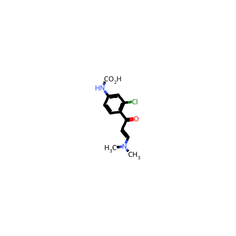 CN(C)C=CC(=O)c1ccc(NC(=O)O)cc1Cl